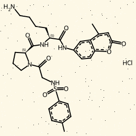 Cc1ccc(S(=O)(=O)NCC(=O)N2CCC[C@H]2C(=O)N[C@@H](CCCCN)C(=O)Nc2ccc3oc(=O)cc(C)c3c2)cc1.Cl